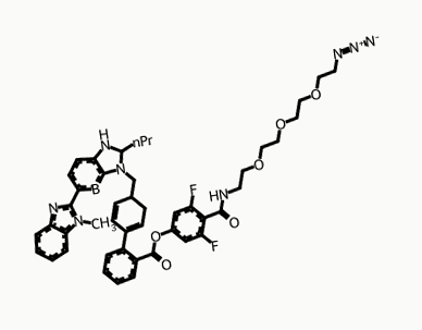 CCCC1Nc2ccc(-c3nc4ccccc4n3C)bc2N1CC1C=CC(c2ccccc2C(=O)Oc2cc(F)c(C(=O)NCCOCCOCCOCCN=[N+]=[N-])c(F)c2)=CC1